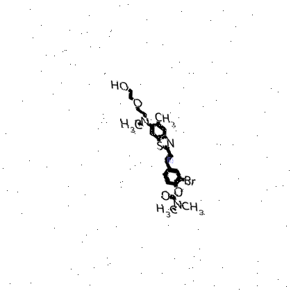 Cc1cc2nc(/C=C/c3ccc(OC(=O)N(C)C)c(Br)c3)sc2cc1N(C)CCOCCO